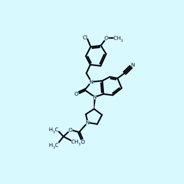 COc1ccc(Cn2c(=O)n([C@H]3CCN(C(=O)OC(C)(C)C)C3)c3ccc(C#N)cc32)cc1Cl